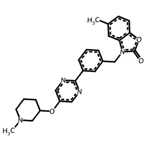 Cc1ccc2oc(=O)n(Cc3cccc(-c4ncc(OC5CCCN(C)C5)cn4)c3)c2c1